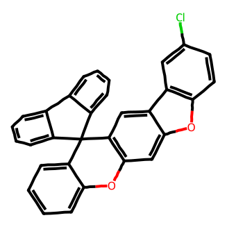 Clc1ccc2oc3cc4c(cc3c2c1)C1(c2ccccc2O4)c2ccccc2-c2ccccc21